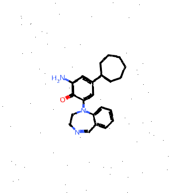 NC1C=C(C2CCCCCC2)C=C(N2CCN=Cc3ccccc32)C1=O